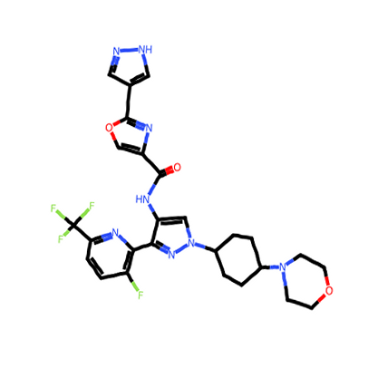 O=C(Nc1cn(C2CCC(N3CCOCC3)CC2)nc1-c1nc(C(F)(F)F)ccc1F)c1coc(-c2cn[nH]c2)n1